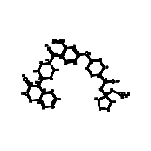 COc1cc(OC2CCN(C(=O)CC3(CC(=O)O)CCCC3)CC2)ccc1C(=O)N1CCC(N2C(=O)OCc3ccccc32)CC1